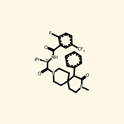 CC(C)[C@@H](NC(=O)c1cc(C(F)(F)F)ccc1F)C(=O)N1CCC2(CCN(C)C(=O)C2c2ccccc2)CC1